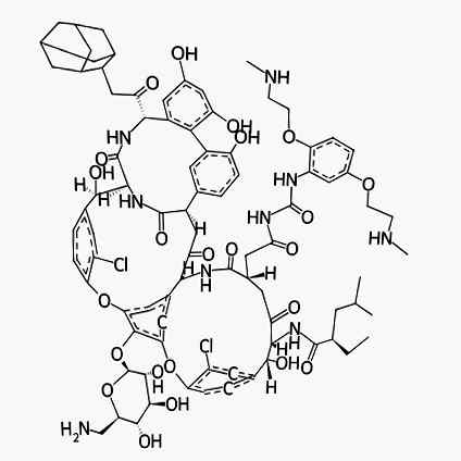 CC[C@H](CC(C)C)C(=O)N[C@H]1C(=O)C[C@@H](CC(=O)NC(=O)Nc2cc(OCCNC)ccc2OCCNC)C(=O)N[C@H]2C(=O)C[C@H]3C(=O)N[C@H](C(=O)N[C@H](C(=O)CC4C5CC6CC(C5)CC4C6)c4cc(O)cc(O)c4-c4cc3ccc4O)[C@H](O)c3ccc(c(Cl)c3)Oc3cc2cc(c3O[C@@H]2O[C@H](CN)[C@@H](O)[C@H](O)[C@H]2O)Oc2ccc(cc2Cl)[C@H]1O